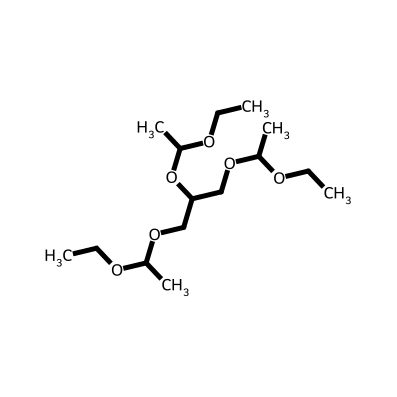 CCOC(C)OCC(COC(C)OCC)OC(C)OCC